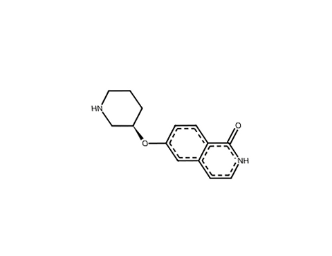 O=c1[nH]ccc2cc(O[C@@H]3CCCNC3)ccc12